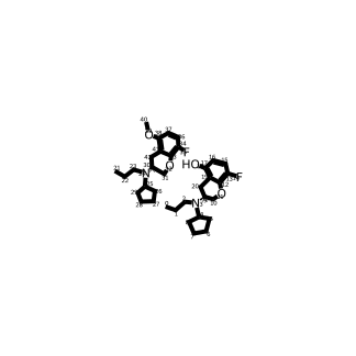 CCCN(C1CCCC1)[C@H]1COc2c(F)ccc(O)c2C1.CCCN(C1CCCC1)[C@H]1COc2c(F)ccc(OC)c2C1